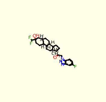 C[C@]12CC[C@H]3[C@@H](CC[C@@H]4C[C@@](O)(C(F)F)CC[C@@H]43)[C@@H]1CC[C@@H]2C(=O)Cn1nnc2cc(F)ccc21